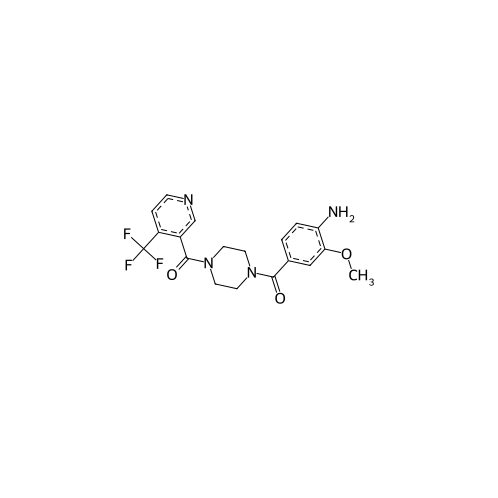 COc1cc(C(=O)N2CCN(C(=O)c3cnccc3C(F)(F)F)CC2)ccc1N